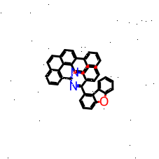 c1ccc2c(c1)ccc1c2ccc2ccc3cccc(-c4nc(-c5cccc6oc7ccccc7c56)c5ccccc5n4)c3c21